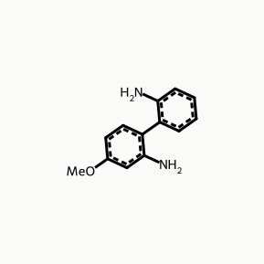 COc1ccc(-c2ccccc2N)c(N)c1